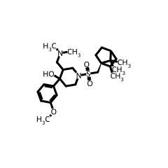 COc1cccc(C2(O)CCN(S(=O)(=O)C[C@]34CCC(CC3C)C4(C)C)CC2CN(C)C)c1